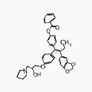 CC/C(=C(/c1ccc(OCC(O)CN2CCCC2)cc1)c1ccc(OC(=O)c2ccccc2)cc1)c1ccc2c(c1)OCO2